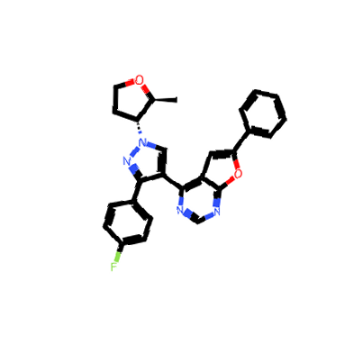 C[C@@H]1OCC[C@H]1n1cc(-c2ncnc3oc(-c4ccccc4)cc23)c(-c2ccc(F)cc2)n1